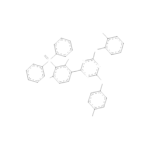 O=P(c1ccccc1)(c1ccccc1)c1c(F)ccc(-c2nc(Oc3ccc(F)cc3)nc(Oc3ccccc3F)n2)c1F